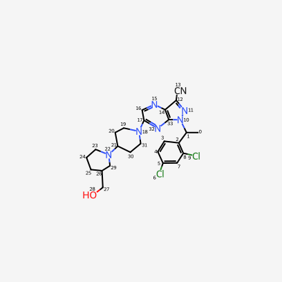 CC(c1ccc(Cl)cc1Cl)n1nc(C#N)c2ncc(N3CCC(N4CCCC(CO)C4)CC3)nc21